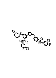 O=C1CCCCC(Sc2cc(C(=O)Nc3ccc(F)c(Cl)c3)cc(C3CCC(Sc4cccc(C(=O)Nc5ccc(F)c(Cl)c5)c4)C3)c2)C1